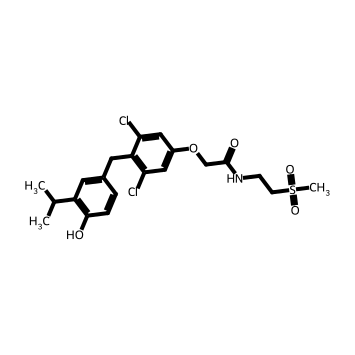 CC(C)c1cc(Cc2c(Cl)cc(OCC(=O)NCCS(C)(=O)=O)cc2Cl)ccc1O